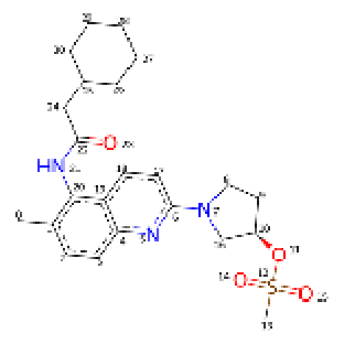 Cc1ccc2nc(N3CC[C@@H](OS(C)(=O)=O)C3)ccc2c1NC(=O)CC1CCCCC1